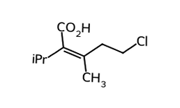 CC(CCCl)=C(C(=O)O)C(C)C